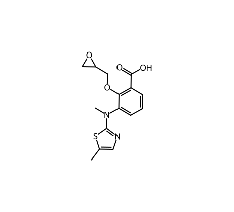 Cc1cnc(N(C)c2cccc(C(=O)O)c2OCC2CO2)s1